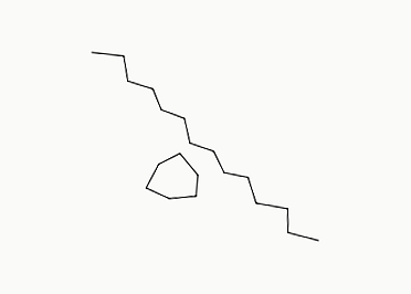 C1CCCCC1.CCCCCCCCCCCCCC